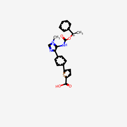 C[C@@H](OC(=O)Nc1c(-c2ccc(-c3ccc(C(=O)O)s3)cc2)ncn1C)c1ccccc1